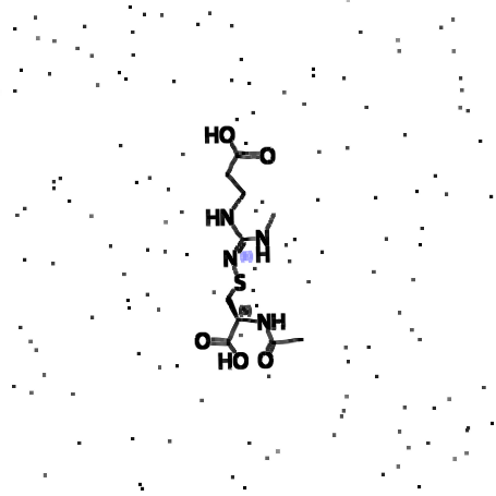 CN/C(=N\SC[C@@H](NC(C)=O)C(=O)O)NCCC(=O)O